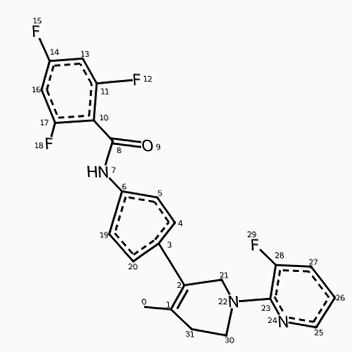 CC1=C(c2ccc(NC(=O)c3c(F)cc(F)cc3F)cc2)CN(c2ncccc2F)CC1